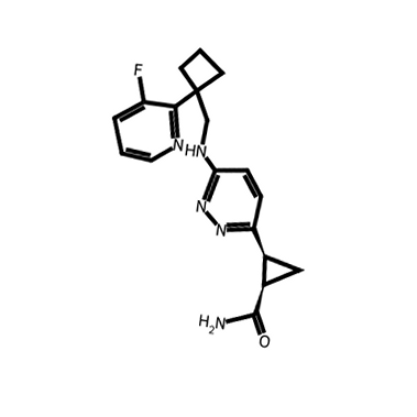 NC(=O)[C@@H]1C[C@@H]1c1ccc(NCC2(c3ncccc3F)CCC2)nn1